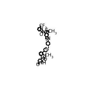 CN(C)c1cc2nn([C@H]3CC[C@H](CN4CCC(c5cccc6c5n(C)c(=O)n6C5CCC(=O)NC5=O)CC4)CC3)cc2cc1NC(=O)c1cccc(C(F)(F)F)n1